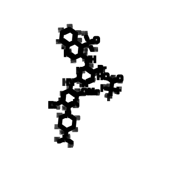 CCc1cc(Nc2ncc(Br)c(Nc3cnc4ccccc4c3P(C)(C)=O)n2)c(OC)nc1N1CCC(N(C)C)CC1.O=C(O)C(F)(F)F